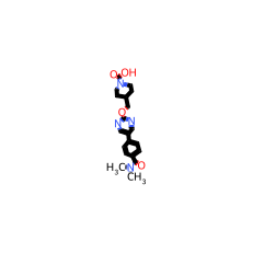 CN(C)C(=O)c1ccc(-c2cnc(OCC3CCN(C(=O)O)CC3)nc2)cc1